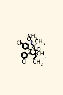 C=CC[C@@]1(C)C[C@H](c2cccc(Cl)c2)[C@@H](c2ccc(Cl)cc2)N([C@H](/C=C/OC)CC)C1=O